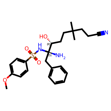 COc1ccc(S(=O)(=O)N[C@@](N)(Cc2ccccc2)[C@H](O)CCC(C)(C)CCC#N)cc1